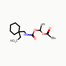 CCCC(OC(=O)NCC1(CC(=O)O)CCCCC1)OC(=O)C(C)(C)C